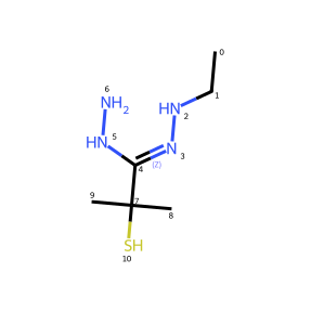 CCN/N=C(\NN)C(C)(C)S